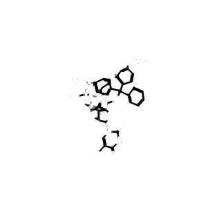 COc1ccc(C(OC[C@]23O[C@@H](n4cc(C)c(=O)[nH]c4=O)C(ON(C)C2=O)C3OP(OCCC#N)N(C(C)C)C(C)C)(c2ccccc2)c2ccc(OC)cc2)cc1